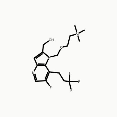 C[Si](C)(C)CCOCn1c(CO)cc2ncc(F)c(CCC(F)(F)F)c21